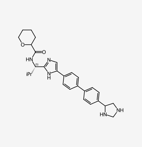 CC(C)[C@H](NC(=O)C1CCCCO1)c1ncc(-c2ccc(-c3ccc(C4CNCN4)cc3)cc2)[nH]1